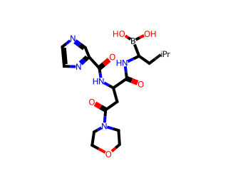 CC(C)CC(NC(=O)C(CC(=O)N1CCOCC1)NC(=O)c1cnccn1)B(O)O